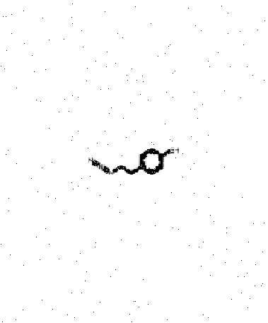 [N-]=[N+]=NCCc1ccc(S)cc1